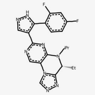 CC[C@@H]1c2nncn2-c2cnc(-c3cn[nH]c3-c3ccc(F)cc3F)nc2N1C(C)C